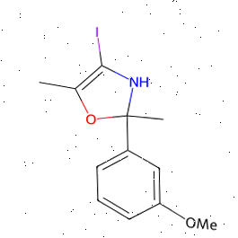 COc1cccc(C2(C)NC(I)=C(C)O2)c1